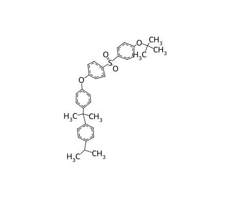 CC(C)c1ccc(C(C)(C)c2ccc(Oc3ccc(S(=O)(=O)c4ccc(OC(C)(C)C)cc4)cc3)cc2)cc1